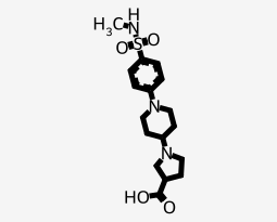 CNS(=O)(=O)c1ccc(N2CCC(N3CCC(C(=O)O)C3)CC2)cc1